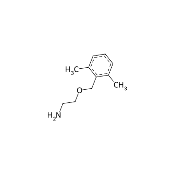 Cc1cccc(C)c1COCCN